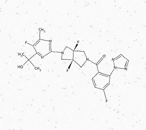 Cc1nc(N2C[C@]3(F)CN(C(=O)c4ccc(F)cc4-n4nccn4)C[C@]3(F)C2)nc(C(C)(C)O)c1F